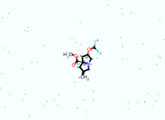 C=C1CN2C[C@H](OC(F)F)C[C@@]2(C(=O)OC)C1